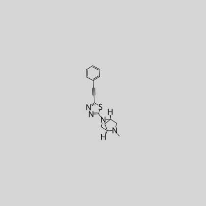 CN1C[C@@H]2C[C@H]1CN2c1nnc(C#Cc2ccccc2)s1